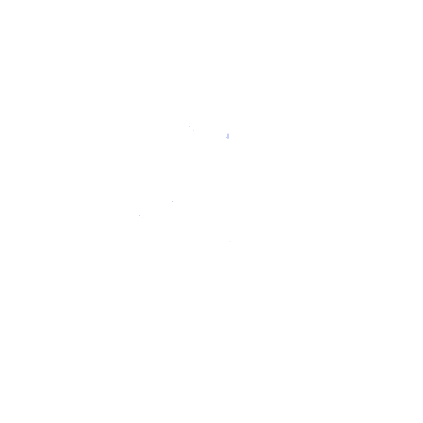 O=C1NCC(c2c(F)cc(-c3csc(Cl)c3)cc2F)N1c1ccc2[nH]cnc2c1